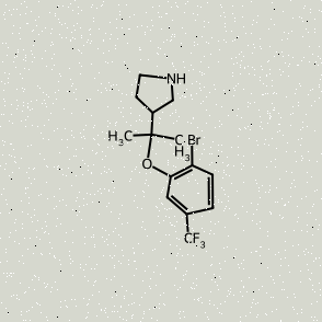 CC(C)(Oc1cc(C(F)(F)F)ccc1Br)C1CCNC1